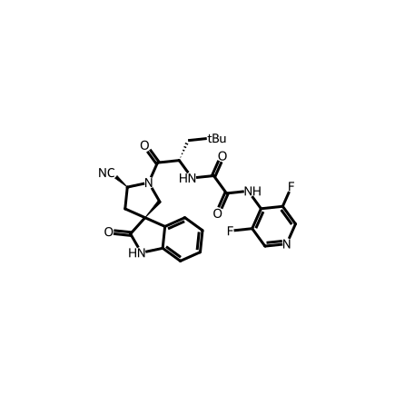 CC(C)(C)C[C@H](NC(=O)C(=O)Nc1c(F)cncc1F)C(=O)N1C[C@]2(C[C@H]1C#N)C(=O)Nc1ccccc12